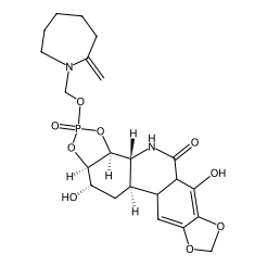 C=C1CCCCCN1COP1(=O)O[C@H]2[C@@H]3NC(=O)C4C(O)=C5OCOC5=CC4[C@H]3C[C@H](O)[C@H]2O1